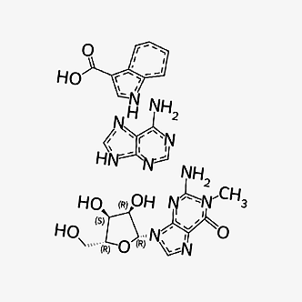 Cn1c(N)nc2c(ncn2[C@@H]2O[C@H](CO)[C@@H](O)[C@H]2O)c1=O.Nc1ncnc2[nH]cnc12.O=C(O)c1c[nH]c2ccccc12